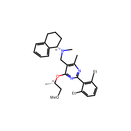 CCc1cccc(CC)c1-c1nc(C)c(CN(C)[C@H]2CCCc3ccccc32)c(O[C@@H](C)COC)n1